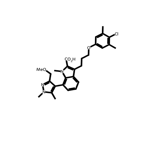 COCc1nn(C)c(C)c1-c1cccc2c(CCCOc3cc(C)c(Cl)c(C)c3)c(C(=O)O)n(C)c12